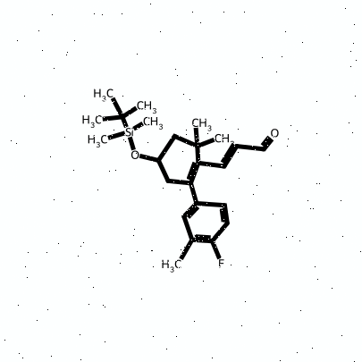 Cc1cc(C2=C(/C=C/C=O)C(C)(C)CC(O[Si](C)(C)C(C)(C)C)C2)ccc1F